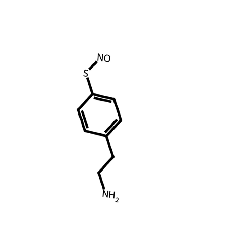 NCCc1ccc(SN=O)cc1